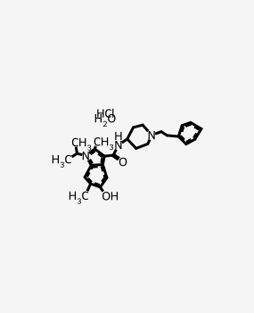 Cc1cc2c(cc1O)c(C(=O)NC1CCN(CCc3ccccc3)CC1)c(C)n2C(C)C.Cl.O